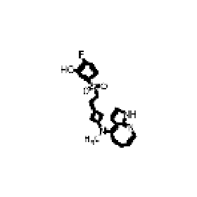 CN(/C1=c2\cc[nH]\c2=N\C=CCC1)C1CC(CCS(=O)(=O)c2ccc(F)c(O)c2)C1